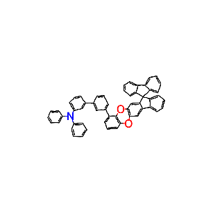 c1ccc(N(c2ccccc2)c2cccc(-c3cccc(-c4cccc5c4Oc4cc6c(cc4O5)-c4ccccc4C64c5ccccc5-c5ccccc54)c3)c2)cc1